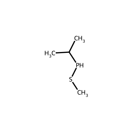 CSPC(C)C